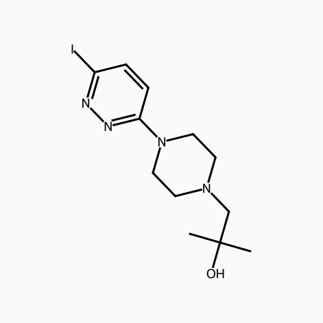 CC(C)(O)CN1CCN(c2ccc(I)nn2)CC1